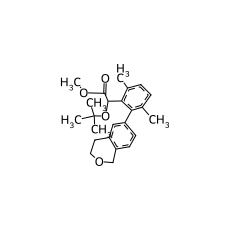 COC(=O)C(OC(C)(C)C)c1c(C)ccc(C)c1-c1ccc2c(c1)CCOC2